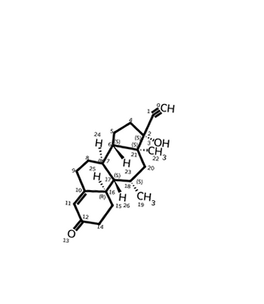 C#C[C@]1(O)CC[C@H]2[C@@H]3CCC4=CC(=O)CC[C@@H]4[C@H]3[C@@H](C)C[C@@]21C